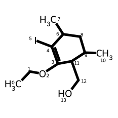 CCOC1=C(I)C(C)CC(C)C1CO